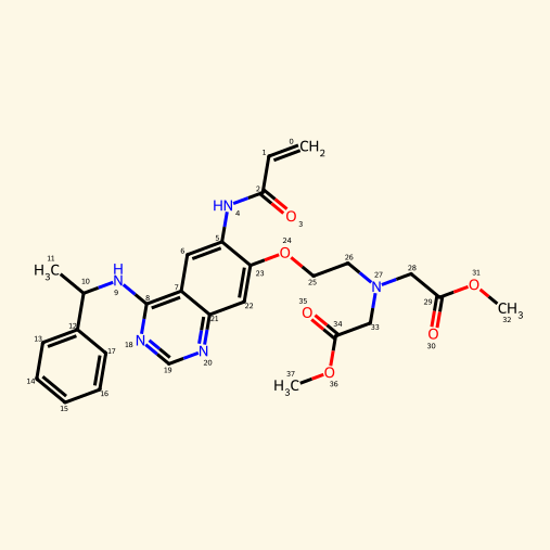 C=CC(=O)Nc1cc2c(NC(C)c3ccccc3)ncnc2cc1OCCN(CC(=O)OC)CC(=O)OC